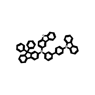 c1ccc(C2(c3ccccc3)c3ccccc3-c3ccc(N(c4cccc(-c5ccc(-n6c7ccccc7c7ccccc76)cc5)c4)c4ccc5sc6ccccc6c5c4)cc32)cc1